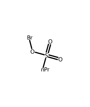 CCCS(=O)(=O)OBr